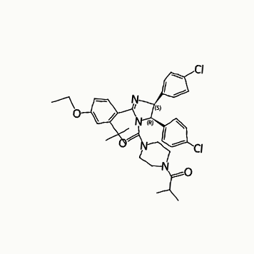 CCOc1ccc(C2=N[C@@H](c3ccc(Cl)cc3)[C@@H](c3ccc(Cl)cc3)N2C(=O)N2CCN(C(=O)C(C)C)CC2)c(C(C)(C)C)c1